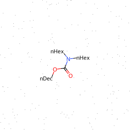 CCCCCCCCCCOC(=O)N(CCCCCC)CCCCCC